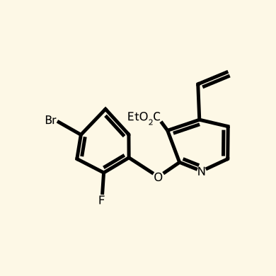 C=Cc1ccnc(Oc2ccc(Br)cc2F)c1C(=O)OCC